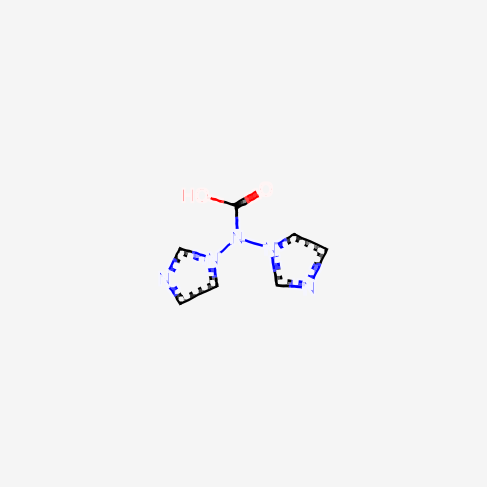 O=C(O)N(n1ccnc1)n1ccnc1